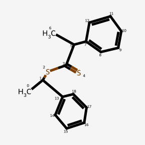 CC(SC(=S)C(C)c1ccccc1)c1ccccc1